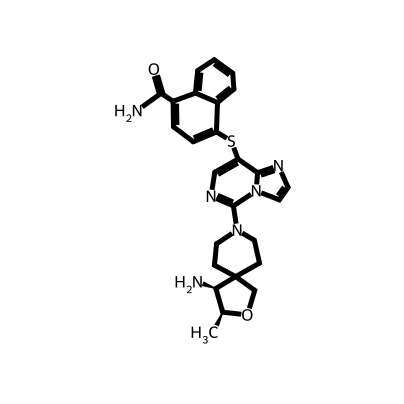 C[C@@H]1OCC2(CCN(c3ncc(Sc4ccc(C(N)=O)c5ccccc45)c4nccn34)CC2)[C@@H]1N